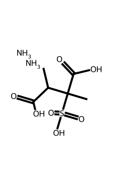 CC(C(=O)O)C(C)(C(=O)O)S(=O)(=O)O.N.N